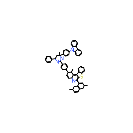 CC1C=C(c2nc3c(c4c2sc2ccccc24)C(C)C(c2ccc(C4=NC(C)(c5ccc(-n6c7ccccc7c7ccccc76)cc5)CC(c5ccccc5)=N4)cc2)C=C3)C2=C(C=CC(C)C2)C1